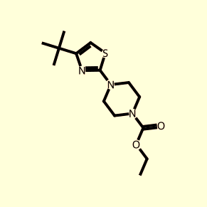 CCOC(=O)N1CCN(c2nc(C(C)(C)C)cs2)CC1